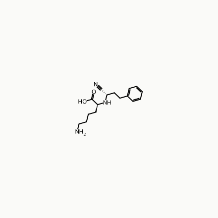 N#C[C@H](CCc1ccccc1)N[C@@H](CCCCN)C(=O)O